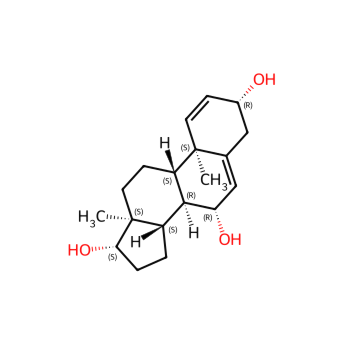 C[C@]12CC[C@H]3[C@@H]([C@@H](O)C=C4C[C@@H](O)C=C[C@@]43C)[C@@H]1CC[C@@H]2O